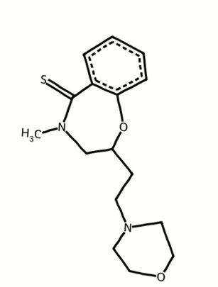 CN1CC(CCN2CCOCC2)Oc2ccccc2C1=S